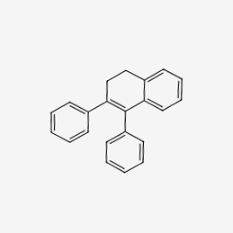 c1ccc(C2=C(c3ccccc3)c3ccccc3CC2)cc1